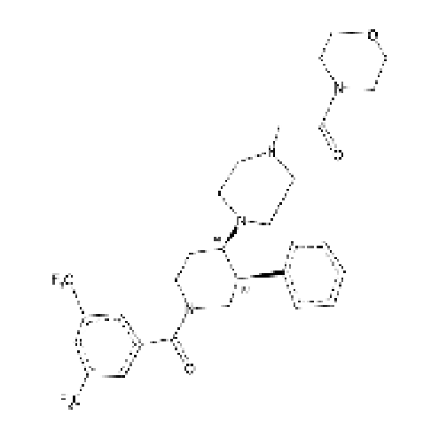 O=C(CN1CCN([C@@H]2CCN(C(=O)c3cc(C(F)(F)F)cc(C(F)(F)F)c3)C[C@@H]2c2ccccc2)CC1)N1CCOCC1